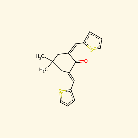 CC1(C)CC(=Cc2cccs2)C(=O)C(=Cc2cccs2)C1